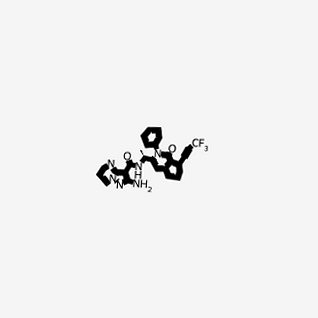 C[C@@H](NC(=O)c1c(N)nn2cccnc12)c1cc2cccc(C#CC(F)(F)F)c2c(=O)n1-c1ccccc1